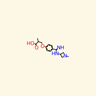 CC(COc1ccc(C(=N)NC2CN(C)C2)cc1)C(=O)O